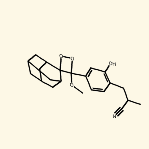 COC1(c2ccc(CC(C)C#N)c(O)c2)OOC12C1CC3CC(C1)CC2C3